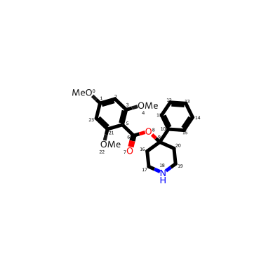 COc1cc(OC)c(C(=O)OC2(c3ccccc3)CCNCC2)c(OC)c1